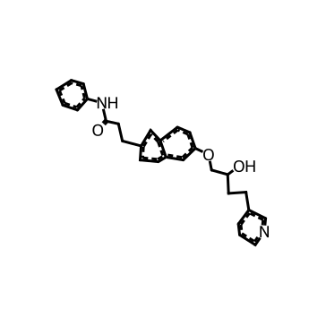 O=C(CCc1ccc2cc(OCC(O)CCc3cccnc3)ccc2c1)Nc1ccccc1